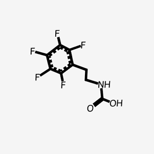 O=C(O)NCCc1c(F)c(F)c(F)c(F)c1F